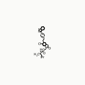 CC(C)CC(C)NC(=O)OCN1C(=O)Cc2cc(CCN3CCN(c4nsc5ccccc45)CC3)c(Cl)cc21